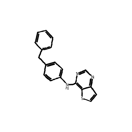 c1ccc(Cc2ccc(Nc3ncnc4ccsc34)cc2)cc1